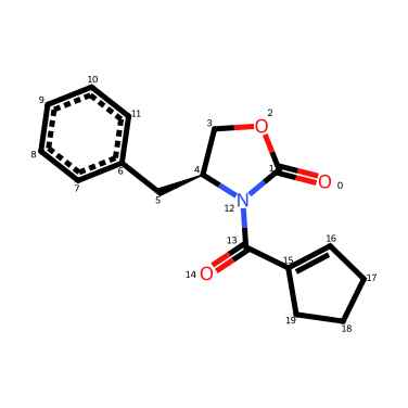 O=C1OC[C@H](Cc2ccccc2)N1C(=O)C1=CCCC1